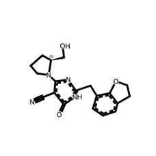 N#Cc1c(N2CCC[C@H]2CO)nc(Cc2cccc3c2OCC3)[nH]c1=O